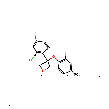 O=[N+]([O-])c1ccc(OC2(c3ccc(Cl)cc3Cl)COC2)c(F)c1